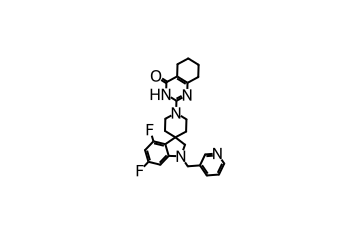 O=c1[nH]c(N2CCC3(CC2)CN(Cc2cccnc2)c2cc(F)cc(F)c23)nc2c1CCCC2